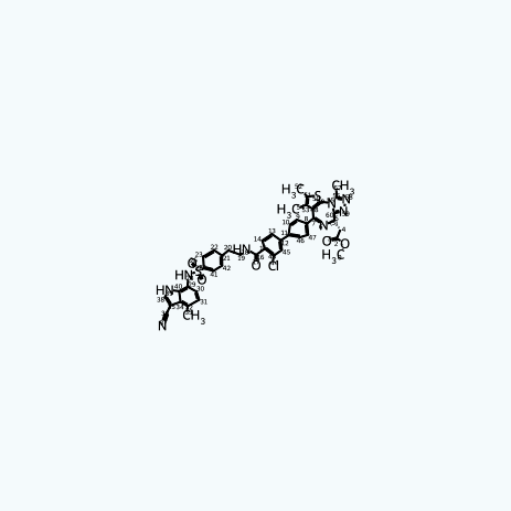 COC(=O)C[C@@H]1N=C(c2ccc(-c3ccc(C(=O)NCCc4ccc(S(=O)(=O)Nc5ccc(C)c6c(C#N)c[nH]c56)cc4)c(Cl)c3)cc2)c2c(sc(C)c2C)-n2c(C)nnc21